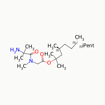 CCC[C@H](C)[C@@H](C)CC[C@H](C)CC(C)(C)OC(=O)CN(C)C(=O)C(C)(C)N